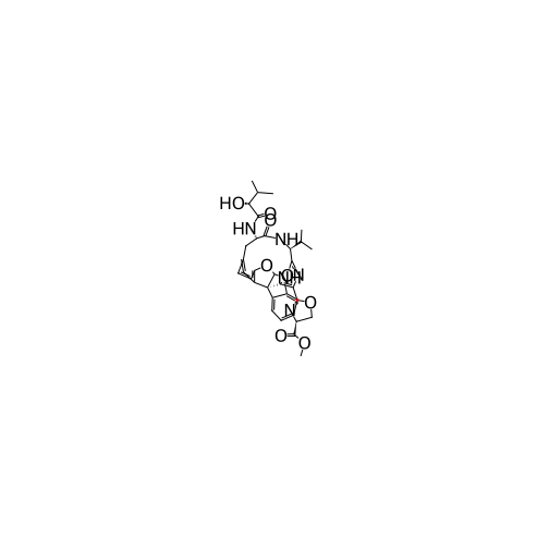 COC(=O)[C@@H]1COC(c2nc3oc2[C@@]24c5ccccc5NC2Oc2ccc(cc24)C[C@H](NC(=O)[C@@H](O)C(C)C)C(=O)N[C@H]3C(C)C)=N1